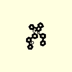 c1ccc(-c2cccc(N(c3ccc(-c4cccc5c4oc4ccccc45)cc3)c3cc4ccccc4c4c3oc3ccccc34)c2)cc1